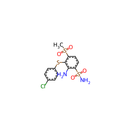 CS(=O)(=O)c1ccc(S(N)(=O)=O)c(N)c1Sc1ccc(Cl)cc1